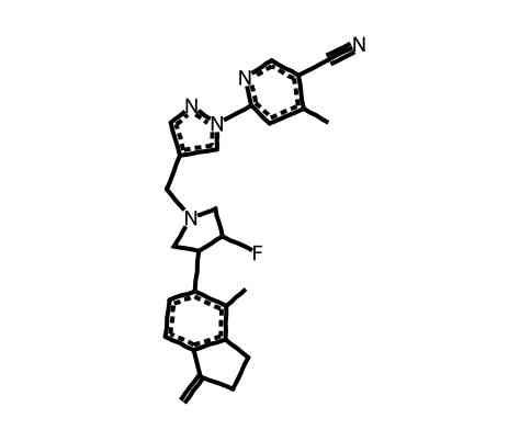 C=C1CCc2c1ccc(C1CN(Cc3cnn(-c4cc(C)c(C#N)cn4)c3)CC1F)c2C